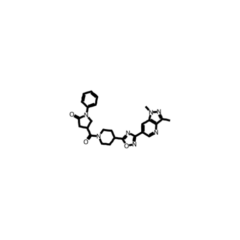 Cc1nn(C)c2cc(-c3noc(C4CCN(C(=O)C5CC(=O)N(c6ccccc6)C5)CC4)n3)cnc12